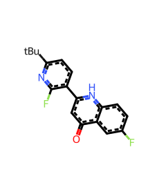 CC(C)(C)c1ccc(-c2cc(=O)c3cc(F)ccc3[nH]2)c(F)n1